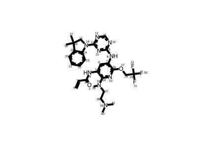 C=CC(=O)Nc1cc(Nc2ncnc(N3CC(C)(C)c4ccccc43)n2)c(OCC(F)(F)F)nc1N(C)CCN(C)C